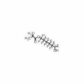 C=C(C)C(=O)OC(F)(F)C(F)(F)C(F)(F)C(F)(F)C(F)(F)C(O)F